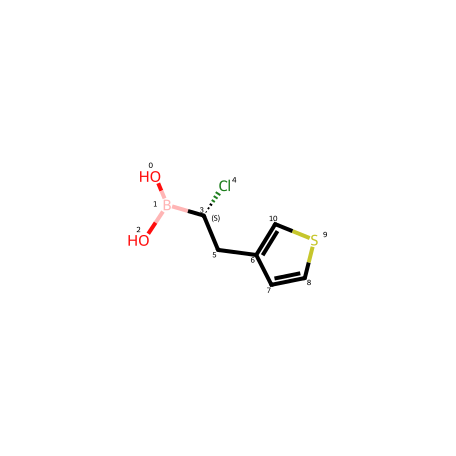 OB(O)[C@H](Cl)Cc1ccsc1